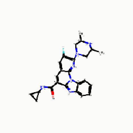 CC1CN(c2nc3c(cc2F)cc(C(=O)NC2CC2)c2nc4ccccc4n23)CC(C)N1